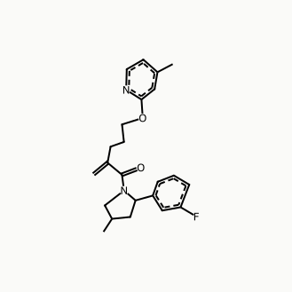 C=C(CCCOc1cc(C)ccn1)C(=O)N1CC(C)CC1c1cccc(F)c1